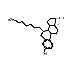 CCCCCCCCCCCCCCCC[C@@H]1Cc2cc(O)ccc2C2CC[C@@]3(C)C(CC[C@@H]3O)C21